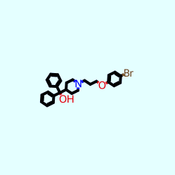 OC(c1ccccc1)(c1ccccc1)C1CCN(CCCOc2ccc(Br)cc2)CC1